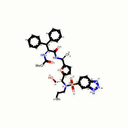 COC(=O)N[C@H](C(=O)N[C@H](c1ccc([C@@H](CO)N(CCC(C)(C)C)S(=O)(=O)c2ccc3nn[nH]c3c2)s1)C(F)(F)F)C(c1ccccc1)c1ccccc1